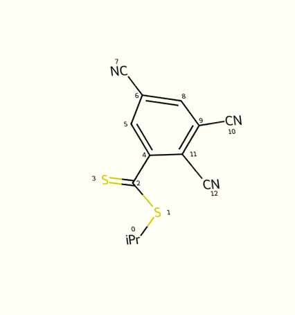 CC(C)SC(=S)c1cc(C#N)cc(C#N)c1C#N